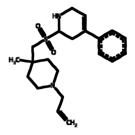 C=CCN1CCC(C)(CS(=O)(=O)C2CC(c3ccccc3)=CCN2)CC1